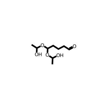 CC(O)OC(CCCC=O)OC(C)O